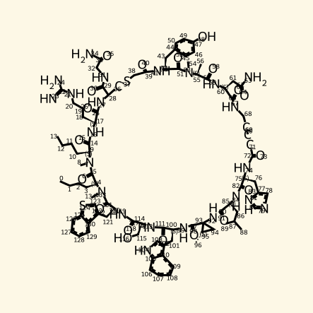 CCCC[C@H]1C(=O)N(C)[C@@H](CCCC)C(=O)N[C@@H](CCCNC(=N)N)C(=O)NC(C(=O)NCC(N)=O)CSCC(=O)N[C@@H](Cc2ccc(O)cc2)C(=O)N(C)[C@@H](C)C(=O)N[C@@H](CC(N)=O)C(=O)NCCCCC(=O)N[C@@H](Cc2cnc[nH]2)C(=O)N[C@@H](CC(C)C)C(=O)NC2(C[C@@H]2C)C(=O)N[C@@H](Cc2c[nH]c3ccccc23)C(=O)N[C@@H](CO)C(=O)N[C@@H](Cc2csc3ccccc23)C(=O)N1C